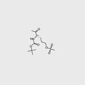 CC(=O)[C@H](CCCOS(C)(=O)=O)NC(=O)OC(C)(C)C